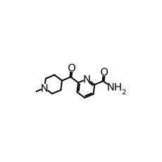 CN1CCC(C(=O)c2cccc(C(N)=O)n2)CC1